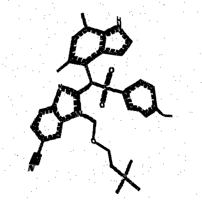 Cc1ccc(S(=O)(=O)C(c2c(C)cc(C)c3[nH]ccc23)c2nc3ccc(C#N)cc3n2COCC[Si](C)(C)C)cc1